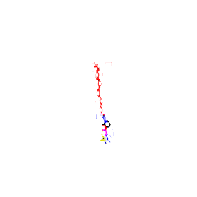 Cc1nc(NC(=O)c2cccc(NCCOCCOCCOCCOCCOCCC(=O)O)c2C)sc1C